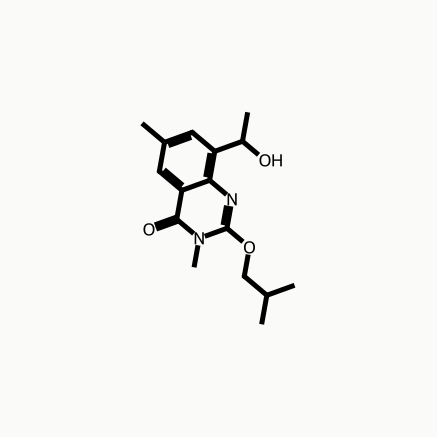 Cc1cc(C(C)O)c2nc(OCC(C)C)n(C)c(=O)c2c1